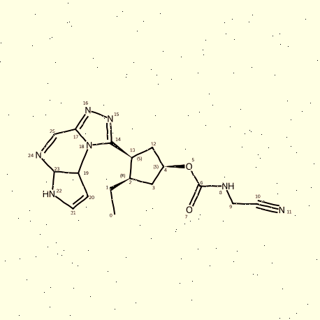 CC[C@@H]1C[C@H](OC(=O)NCC#N)C[C@@H]1c1nnc2n1C1C=CNC1N=C2